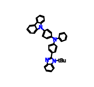 CC(C)(C)n1c(-c2ccc(N(c3ccccc3)c3ccc(-n4c5ccccc5c5ccccc54)cc3)cc2)nc2ccccc21